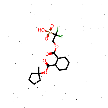 CC1(OC(=O)C2CCCCC2C(=O)OCC(F)(F)S(=O)(=O)O)CCCC1